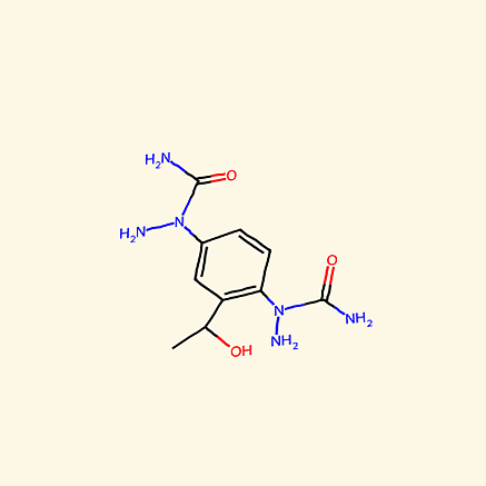 CC(O)c1cc(N(N)C(N)=O)ccc1N(N)C(N)=O